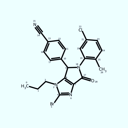 CCCn1c(Br)nc2c1C(c1ccc(C#N)cc1)N(c1cc(Cl)ccc1C)C2=O